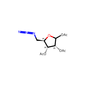 CC(=O)OC1O[C@H](CN=[N+]=[N-])[C@@H](OC(C)=O)[C@H]1OC(C)=O